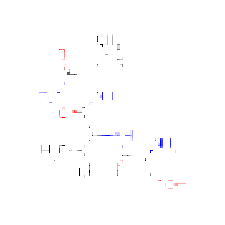 CC(C)[C@H](NC(=O)[C@@H](NC(=O)[C@@H](N)CO)C(C)C)C(N)=O